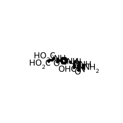 Nc1nc(=O)c2c([nH]1)N=C[C@@H](CNc1ccc(C(=O)N[C@H](CCC(=O)O)C(=O)O)cc1)N2C=O